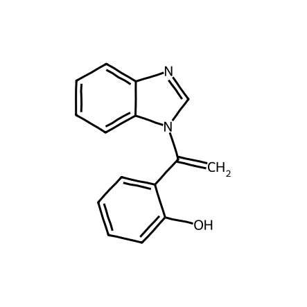 C=C(c1ccccc1O)n1cnc2ccccc21